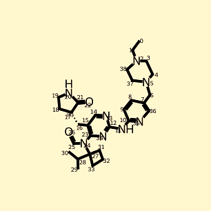 CCN1CCN(Cc2ccc(Nc3ncc(C[C@@H]4CCNC4=O)c(N(C=O)C4(C(C)C)CCC4)n3)nc2)CC1